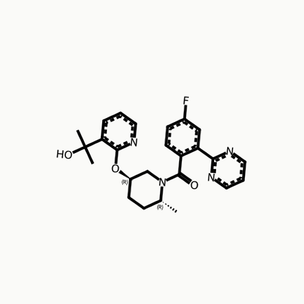 C[C@@H]1CC[C@@H](Oc2ncccc2C(C)(C)O)CN1C(=O)c1ccc(F)cc1-c1ncccn1